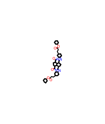 O=C(CCc1ccc2nc3c4ccc5c6c(ccc(c(=O)n3c2c1)c46)c(=O)n1c2cc(CCC(=O)Oc3ccccc3)ccc2nc51)Oc1ccccc1